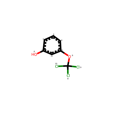 Oc1cccc(OC(Cl)(Cl)Cl)c1